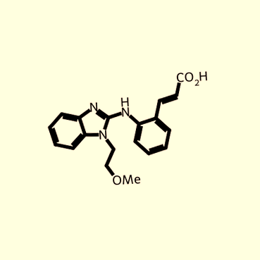 COCCn1c(Nc2ccccc2/C=C/C(=O)O)nc2ccccc21